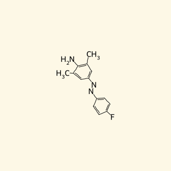 Cc1cc(/N=N/c2ccc(F)cc2)cc(C)c1N